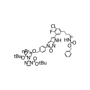 CCC[C@H](CN(C(=O)OC(C)(C)C)c1nccn1C(=O)OC(C)(C)C)OCc1ccc(-n2cc3cc(-c4cc(CCC[C@H](C)NC(=O)OCc5ccccc5)cc(Cl)c4F)[nH]c3nc2=O)cc1